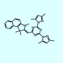 Cc1cc(C)n(-c2nc(/C=C3\N(C)c4ccc5ccccc5c4C3(C)C)nc(-n3nc(C)cc3C)n2)n1